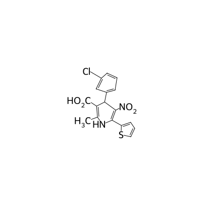 CC1=C(C(=O)O)C(c2cccc(Cl)c2)C([N+](=O)[O-])=C(c2cccs2)N1